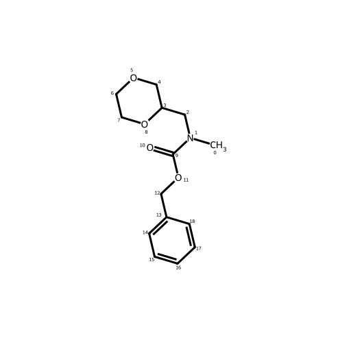 CN(CC1COCCO1)C(=O)OCc1ccccc1